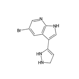 Brc1cnc2[nH]cc(C3=CCNN3)c2c1